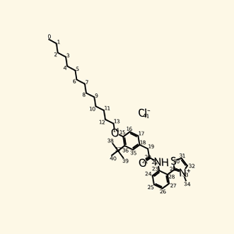 CCCCCCCCCCCCCCOc1ccc(CC(=O)Nc2ccccc2-c2scc[n+]2C)cc1C(C)(C)C.[Cl-]